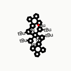 CC(C)(C)c1cc(-c2c3c4cc(C(C)(C)C)cc5c6cc7c(cc6n(c3c(-c3cc(C(C)(C)C)cc(C(C)(C)C)c3)c3c6cc(C(C)(C)C)cc8c9cc%10c(cc9n(c23)c86)-c2ccccc2-c2ccccc2-c2ccccc2-%10)c54)-c2ccccc2-c2ccccc2-c2ccccc2-7)cc(C(C)(C)C)c1